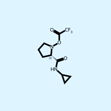 O=C(NC1CC1)[C@@H]1CCCN1OC(=O)C(F)(F)F